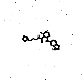 Cc1ccnc(Nc2ccc3cn[nH]c3c2)c1C(=O)NCCCn1ccnc1